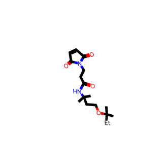 CCC(C)(C)OCCC(C)(C)NC(=O)CCN1C(=O)C=CC1=O